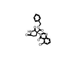 O=C1CC[C@](C(=O)OCc2ccccc2)(n2cnc3cccc(Cl)c3c2=O)C(=O)N1